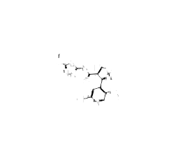 COc1nnc(NC(=O)c2conc2-c2cc(Cl)ncc2OC)s1